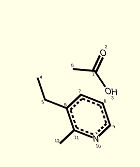 CC(=O)O.CCc1cccnc1C